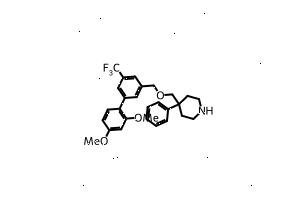 COc1ccc(-c2cc(COCC3(c4ccccc4)CCNCC3)cc(C(F)(F)F)c2)c(OC)c1